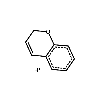 [H+].[c]1ccc2c(c1)OCC=C2